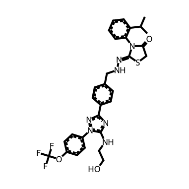 CC(C)c1ccccc1N1C(=O)CS/C1=N\NCc1ccc(-c2nc(NCCO)n(-c3ccc(OC(F)(F)F)cc3)n2)cc1